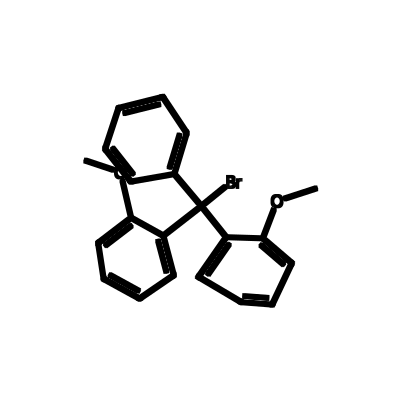 COc1ccccc1C(Br)(c1ccccc1)c1ccccc1OC